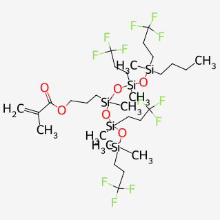 C=C(C)C(=O)OCCC[Si](C)(O[Si](C)(CCC(F)(F)F)O[Si](C)(C)CCC(F)(F)F)O[Si](C)(CCC(F)(F)F)O[Si](C)(CCCC)CCC(F)(F)F